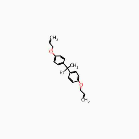 C=CCOc1ccc(C(C)(CC)c2ccc(OCC=C)cc2)cc1